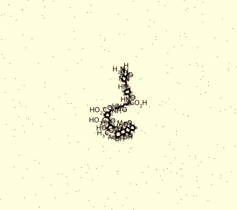 COc1cccc2c1C(=O)c1c(O)c3c(c(O)c1C2=O)C[C@@](O)(C(C)=O)C[C@@H]3O[C@H]1C[C@@H](NC(=O)c2cc(C(=O)NCCNC(=O)CC[C@H](NC(=O)c3ccc(NCc4cnc5nc(N)[nH]c(=O)c5n4)cc3)C(=O)O)c(C(=O)O)cc2C(=O)O)[C@H](O)C(C)O1